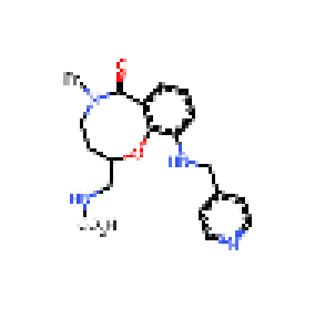 CC(C)N1CCC(CNC(=O)O)Oc2c(NCc3ccncc3)cccc2C1=O